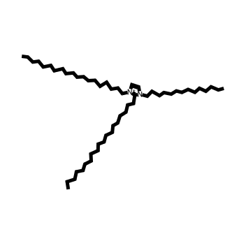 CCCCCCCCCCCCCCCCCCCc1n(CCCCCCCCCCCCCC)cc[n+]1CCCCCCCCCCCCCCCCCCC